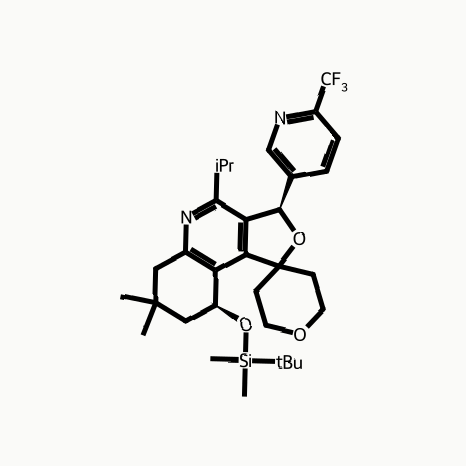 CC(C)c1nc2c(c3c1[C@@H](c1ccc(C(F)(F)F)nc1)OC31CCOCC1)[C@@H](O[Si](C)(C)C(C)(C)C)CC(C)(C)C2